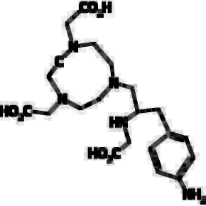 Nc1ccc(CC(CN2CCN(CC(=O)O)CCN(CC(=O)O)CC2)NCC(=O)O)cc1